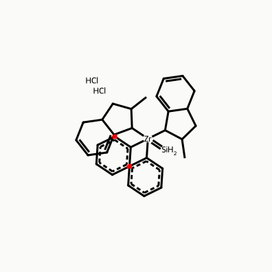 CC1CC2CC=CC=C2[CH]1[Zr](=[SiH2])([c]1ccccc1)([c]1ccccc1)[CH]1C2=CC=CCC2CC1C.Cl.Cl